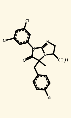 CC1(Cc2ccc(Br)cc2)C(=O)N(c2cc(Cl)cc(Cl)c2)C2=NCC(C(=O)O)N21